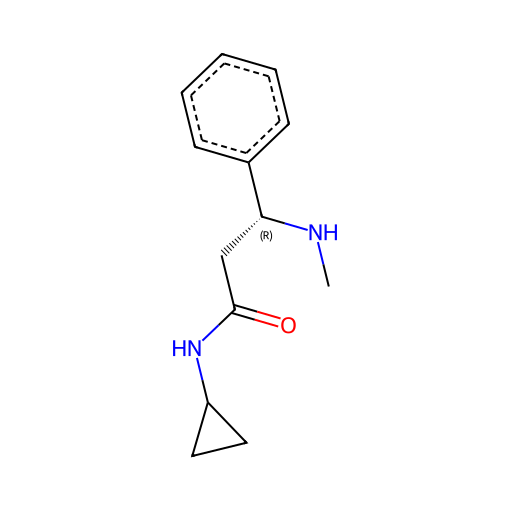 CN[C@H](CC(=O)NC1CC1)c1ccccc1